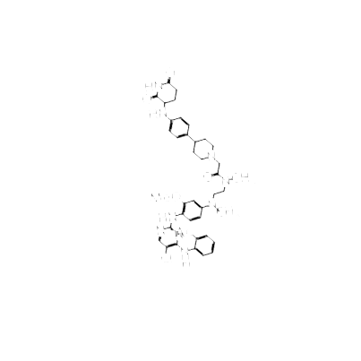 COc1cc(N(C)CCN(C)C(=O)CN2CCC(c3ccc(NC4CCC(=O)NC4=O)cc3)CC2)ccc1Nc1ncc(Cl)c(Nc2ccccc2C(C)=O)n1